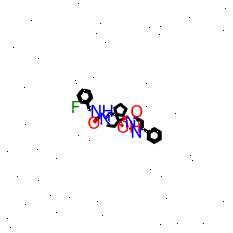 O=C(NCc1ccccc1F)N1CCC(O)(Cn2cnc(-c3ccccc3)cc2=O)C2(CCCC2)C1